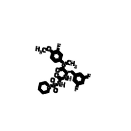 COc1ccc(N(C)C(=O)[C@H](Cc2cc(F)cc(F)c2)NC(=O)NS(=O)(=O)N2CCCCC2)cc1F